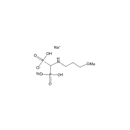 COCCCNC(P(=O)([O-])O)P(=O)(O)O.[Na+]